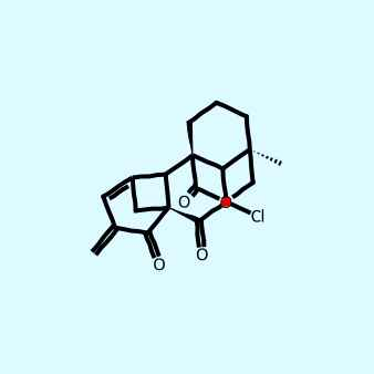 C=C1C=C2C[C@]3(C1=O)C(=O)C(Cl)C1[C@@]4(C)CCC[C@@]1(C(=O)OC4)C23